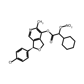 Cc1ncc2c(c1OC(=O)C(O[N+](=O)[O-])C1CCCCC1)CO[C@H]2c1ccc(Cl)cc1